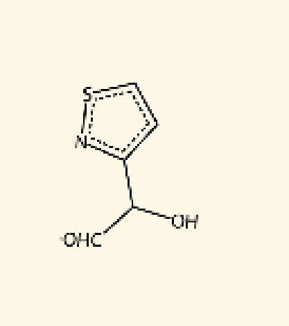 O=[C]C(O)c1ccsn1